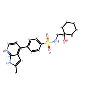 Cc1cc2c(-c3ccc(S(=O)(=O)NCC4(O)CCCCC4)cc3)ccnc2[nH]1